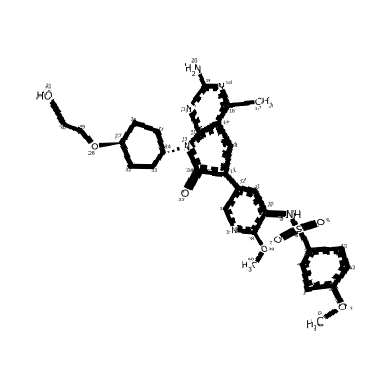 COc1ccc(S(=O)(=O)Nc2cc(-c3cc4c(C)nc(N)nc4n([C@H]4CC[C@H](OCCO)CC4)c3=O)cnc2OC)cc1